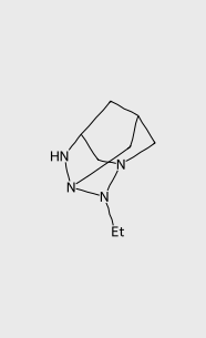 CCN1N2CC3CC(C2)NN1C3